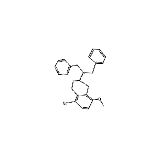 COc1ccc(Br)c2c1CC(N(Cc1ccccc1)Cc1ccccc1)CC2